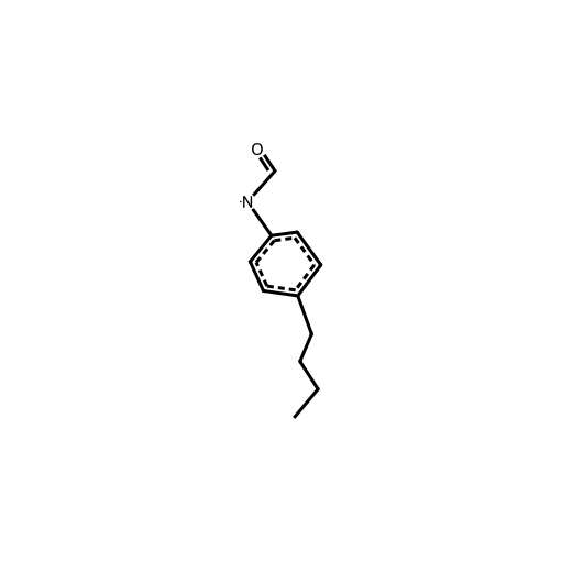 CCCCc1ccc([N]C=O)cc1